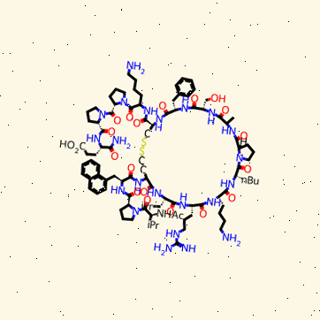 CCCC[C@@H]1NC(=O)[C@H](CCCCN)NC(=O)[C@H](CCCNC(=N)N)NC(=O)[C@H](CC(C)C)NC(=O)C(NC(=O)[C@H](Cc2cccc3ccccc23)NC(=O)[C@@H]2CCCN2C(=O)[C@@H](NC(C)=O)C(C)C)CCSSC[C@@H](C(=O)NC(CCCCN)C(=O)N2CCC[C@H]2C(=O)N2CCC[C@H]2C(=O)N[C@@H](CCC(=O)O)C(N)=O)NC(=O)[C@H](Cc2ccccc2)NC(=O)[C@H](CO)NC(=O)C(C)NC(=O)[C@@H]2CCCN2C1=O